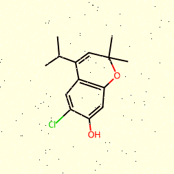 CC(C)C1=CC(C)(C)Oc2cc(O)c(Cl)cc21